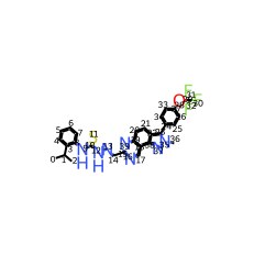 CC(C)c1ccccc1NC(=S)NN=Cc1ncc2c(ccc3c(-c4ccc(OC(F)(F)F)cc4)n(C)nc32)n1